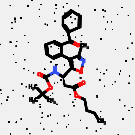 CCCCOC(=O)C[C@H](NC(=O)OC(C)(C)C)c1onc(C)c1-c1ccccc1C(=O)c1ccccc1